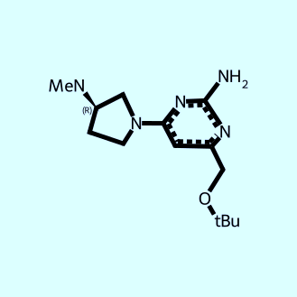 CN[C@@H]1CCN(c2cc(COC(C)(C)C)nc(N)n2)C1